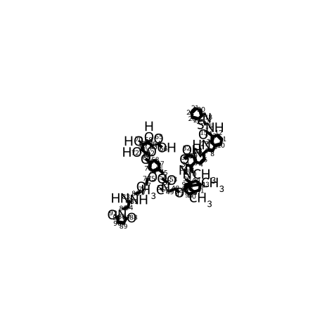 Cc1c(-c2ccc(-c3cc4cccc(C(=O)Nc5nc6ccccc6s5)c4[nH]3)nc2C(=O)O)cnn1CC12CC3(C)CC(C)(C1)CC(OCCN(C)C(=O)OCc1ccc(O[C@@H]4O[C@H](C(=O)O)[C@@H](O)[C@H](O)[C@H]4O)cc1OCCOCCNC(=N)CCN1C(=O)C=CC1=O)(C3)C2